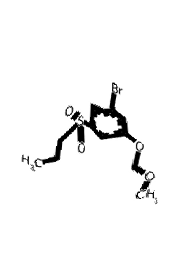 CCCS(=O)(=O)c1cc(Br)cc(OCOC)c1